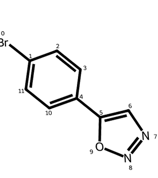 Brc1ccc(-c2cnno2)cc1